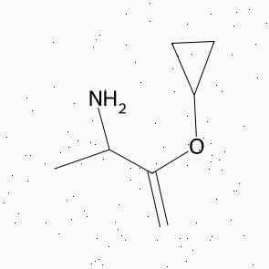 C=C(OC1CC1)C(C)N